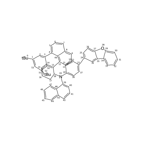 CC(C)(C)c1cc(-c2cccc3cccc(C4=CC=CCC4N(c4ccc(-c5ccc6oc7ccccc7c6c5)cc4)c4cccc5ccccc45)c23)cc(C(C)(C)C)c1